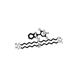 CCCCCCCCNCCCCCCCC.CCCCCCCCNCCCCCCCC.O=C(S)CC(C(=O)O)c1nc2ccccc2o1